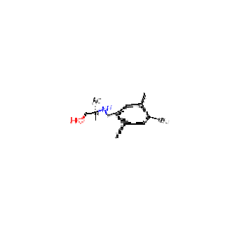 CC(=O)[C@](C)(CO)NCc1cc(C)c(C(C)(C)C)cc1C